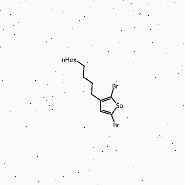 CCCCCCCCCCc1cc(Br)[se]c1Br